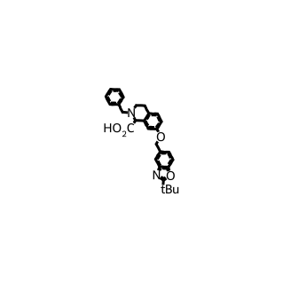 CC(C)(C)c1nc2cc(COc3ccc4c(c3)C(C(=O)O)N(Cc3ccccc3)CC4)ccc2o1